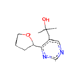 CC(C)(O)c1cn[c]nc1C1CCCO1